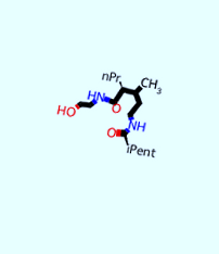 CCC[C@H](C)C(=O)NCCC(C)[C@@H](CCC)C(=O)NCCO